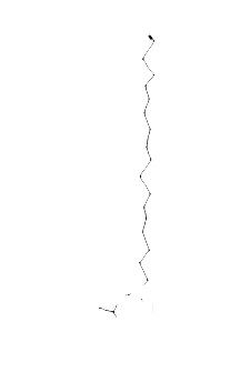 C=CCCCCCCCCCCCCCCCC[SiH](C)OC(C)OC